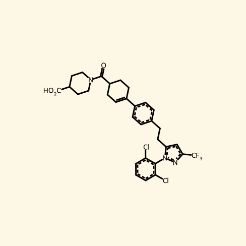 O=C(O)C1CCN(C(=O)C2CC=C(c3ccc(CCc4cc(C(F)(F)F)nn4-c4c(Cl)cccc4Cl)cc3)CC2)CC1